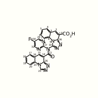 O=C(O)c1cc2ccccc2n2c(N(C(=O)c3cc4ccccc4n4cnnc34)c3ncc(F)cn3)nnc12